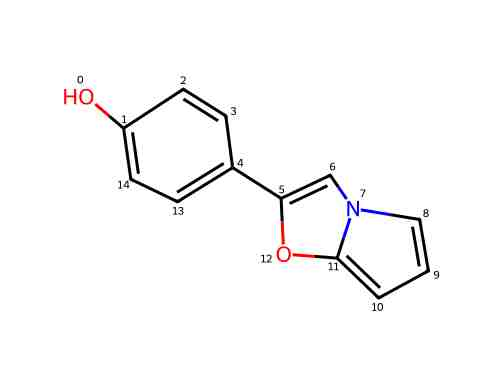 Oc1ccc(-c2cn3cccc3o2)cc1